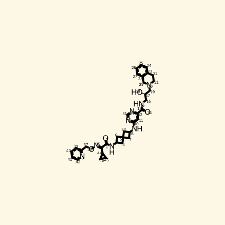 O=C(NC1CC2(C1)CC(Nc1cc(C(=O)NC[C@H](O)CN3CCc4ccccc4C3)ncn1)C2)/C(=N/OCc1ccccn1)C1CC1